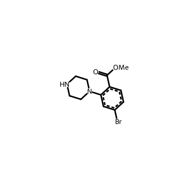 COC(=O)c1ccc(Br)cc1N1CCNCC1